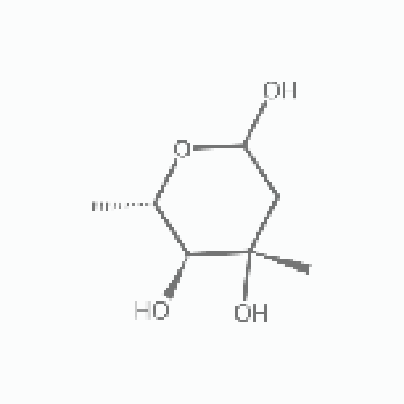 C[C@@H]1OC(O)C[C@](C)(O)[C@H]1O